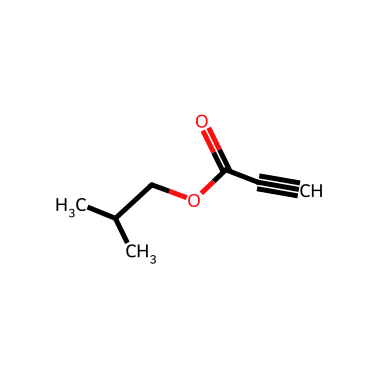 C#CC(=O)OCC(C)C